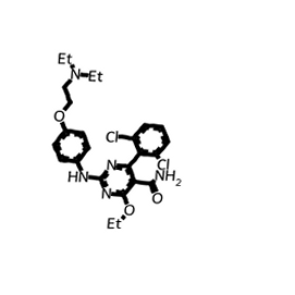 CCOc1nc(Nc2ccc(OCCN(CC)CC)cc2)nc(-c2c(Cl)cccc2Cl)c1C(N)=O